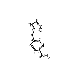 Nc1ccc(Cc2ncco2)cn1